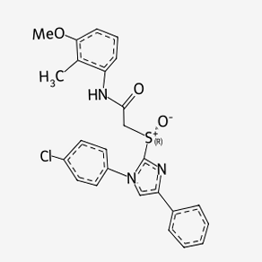 COc1cccc(NC(=O)C[S@+]([O-])c2nc(-c3ccccc3)cn2-c2ccc(Cl)cc2)c1C